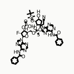 CC(C)(C)[Si](C)(C)O[C@H]1[C@@H](OP(=S)(OCCC#N)OC[C@H]2O[C@@H](n3cnc4c(NC(=O)c5ccccc5)ncnc43)[C@H](F)[C@@H]2O[PH](=O)O)[C@H](n2cnc3c(NC(=O)c4ccccc4)ncnc32)C[C@@H]1O